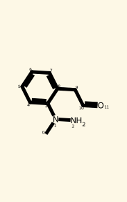 CN(N)c1ccccc1CC=O